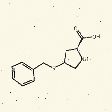 O=C(O)[C@@H]1CC(SCc2ccccc2)CN1